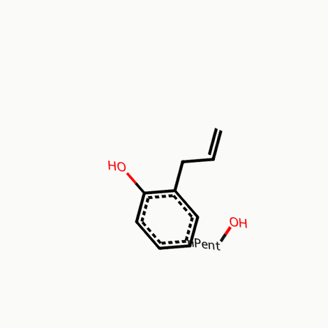 C=CCc1ccccc1O.CCCCCO